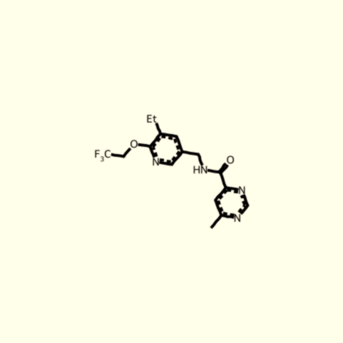 CCc1cc(CNC(=O)c2cc(C)ncn2)cnc1OCC(F)(F)F